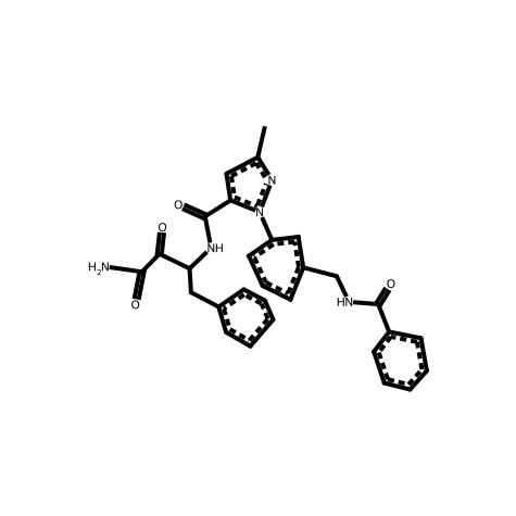 Cc1cc(C(=O)NC(Cc2ccccc2)C(=O)C(N)=O)n(-c2cccc(CNC(=O)c3ccccc3)c2)n1